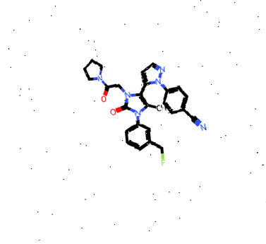 Cc1c(-c2ccnn2-c2ccc(C#N)cc2)n(CC(=O)N2CCCC2)c(=O)n1-c1cccc(CF)c1